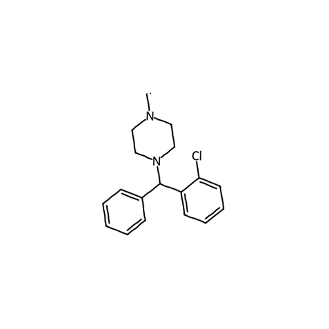 [CH2]N1CCN(C(c2ccccc2)c2ccccc2Cl)CC1